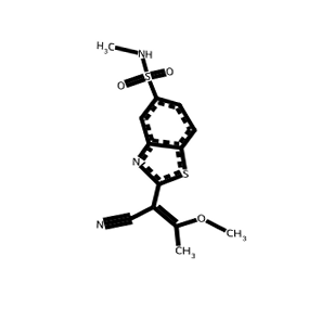 CNS(=O)(=O)c1ccc2sc(C(C#N)=C(C)OC)nc2c1